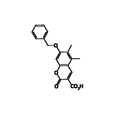 Cc1c(OCc2ccccc2)cc2oc(=O)c(C(=O)O)cc2c1C